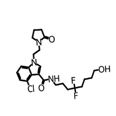 O=C(NCCCC(F)(F)CCCCO)c1cn(CCN2CCCC2=O)c2cccc(Cl)c12